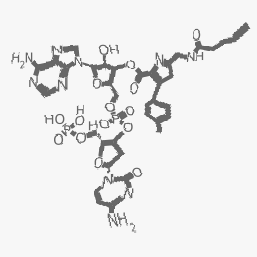 C=CCCC(=O)NCC1=NC(C(=O)OC2[C@@H](COP(=O)(O)OC3C[C@H](n4ccc(N)nc4=O)O[C@@H]3COP(=O)(O)O)O[C@@H](n3cnc4c(N)ncnc43)[C@H]2O)=C(c2ccc(C)cc2)C1